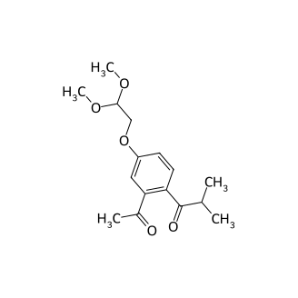 COC(COc1ccc(C(=O)C(C)C)c(C(C)=O)c1)OC